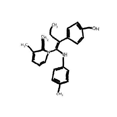 C=C1C(C)=CC=CN1/C(Nc1ccc(C)cc1)=C(\CC)c1ccc(O)cc1